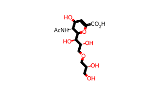 CC(=O)N[C@@H]1C(O)C=C(C(=O)O)OC1[C@H](O)[C@H](O)COC[C@H](O)CO